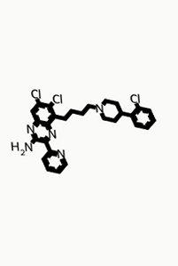 Nc1nc2cc(Cl)c(Cl)c(CCCCN3CCC(c4ccccc4Cl)CC3)c2nc1-c1ccccn1